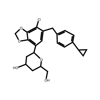 OCC1CC(O)CC(c2cc(Cc3ccc(C4CC4)cc3)c(Cl)c3c2OCO3)O1